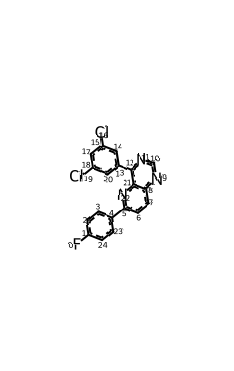 Fc1ccc(-c2ccc3ncnc(-c4cc(Cl)cc(Cl)c4)c3n2)cc1